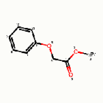 CCCOC(=O)COc1ccccc1